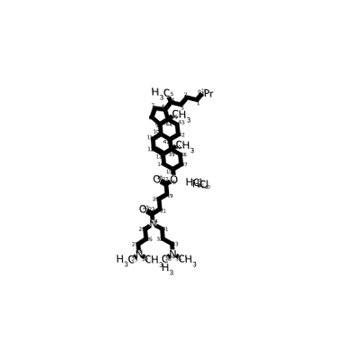 CC(C)CCCC(C)C1CCC2C3CC=C4CC(OC(=O)CCCC(=O)N(CCCN(C)C)CCCN(C)C)CCC4(C)C3CCC12C.Cl.Cl